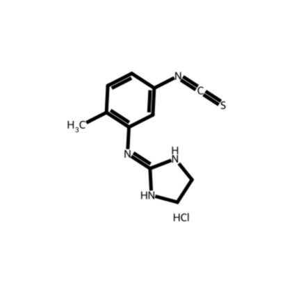 Cc1ccc(N=C=S)cc1N=C1NCCN1.Cl